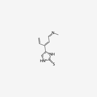 C=C/C(=C\C=N/C)c1c[nH]c(=S)[nH]1